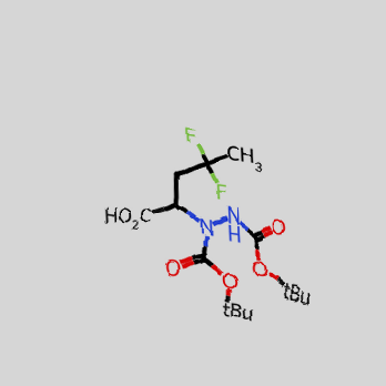 CC(F)(F)CC(C(=O)O)N(NC(=O)OC(C)(C)C)C(=O)OC(C)(C)C